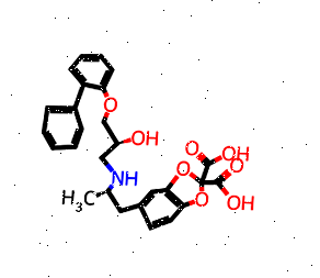 C[C@H](Cc1ccc2c(c1)OC(C(=O)O)(C(=O)O)O2)NC[C@H](O)COc1ccccc1-c1ccccc1